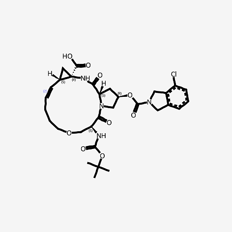 CC(C)(C)OC(=O)N[C@H]1COCCC/C=C\[C@@H]2C[C@@]2(C(=O)O)NC(=O)[C@@H]2C[C@@H](OC(=O)N3Cc4cccc(Cl)c4C3)CN2C1=O